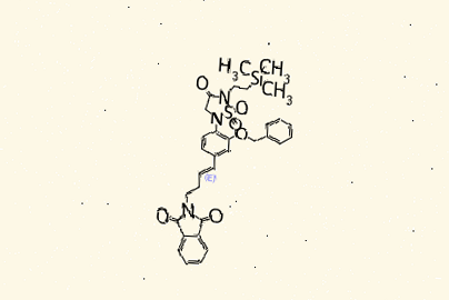 C[Si](C)(C)CCN1C(=O)CN(c2ccc(/C=C/CCN3C(=O)c4ccccc4C3=O)cc2OCc2ccccc2)S1(=O)=O